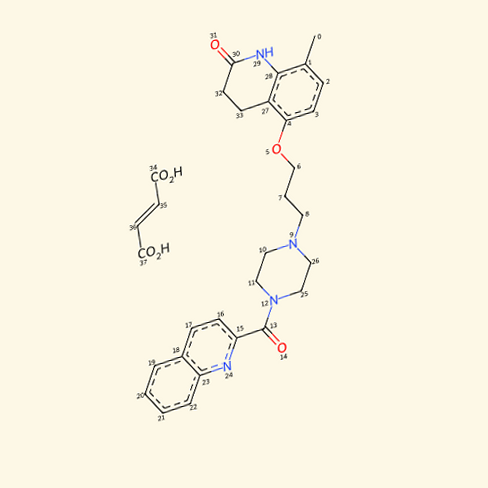 Cc1ccc(OCCCN2CCN(C(=O)c3ccc4ccccc4n3)CC2)c2c1NC(=O)CC2.O=C(O)C=CC(=O)O